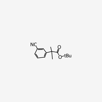 CC(C)(C)OC(=O)C(C)(C)c1cccc(C#N)c1